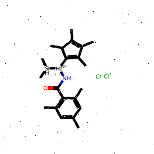 CC1=C(C)C(C)[C]([Hf+2]([NH]C(=O)c2c(C)cc(C)cc2C)[SiH](C)C)=C1C.[Cl-].[Cl-]